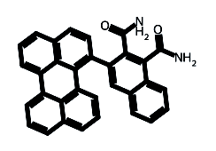 NC(=O)c1c(-c2ccc3cccc4c5cccc6cccc(c2c34)c65)cc2ccccc2c1C(N)=O